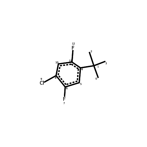 CC(C)(C)c1cc(F)c(Cl)cc1F